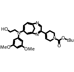 COc1cc(OC)cc(N(CCO)C2=CC=C3CC(=C2)N=C(C2=CCN(C(=O)OC(C)(C)C)CC2)C=N3)c1